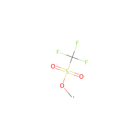 [CH]OS(=O)(=O)C(F)(F)F